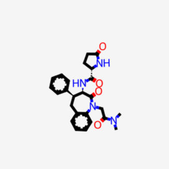 CN(C)C(=O)CN1C(=O)[C@@H](NC(=O)[C@@H]2CCC(=O)N2)[C@H](c2ccccc2)Cc2ccccc21